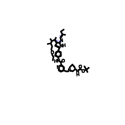 CCCOCCC(C)C(C)\C(C)=C1/C=C(c2ccc(NC(=O)c3cc(CN4CCCC(NC(=O)OC(C)(C)C)C4)ccn3)cc2)N/C1=N/C=C(\C)CC